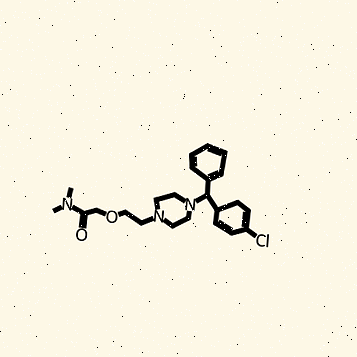 CN(C)C(=O)COCCN1CCN(C(c2ccccc2)C2C=CC(Cl)=CC2)CC1